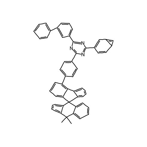 CC1(C)c2ccccc2C2(c3ccccc3-c3c(-c4ccc(-c5nc(C6=CC7=CC7C=C6)nc(-c6cccc(-c7ccccc7)c6)n5)cc4)cccc32)c2ccccc21